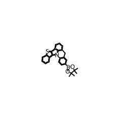 CC1(C)OB(c2ccc3c(c2)Cc2cccc4c5sc6ccccc6c5n-3c24)OC1(C)C